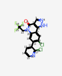 O=c1c2cn[nH]c2c2cc(Cl)c(-c3cccnc3Cl)cc2n1CC(F)(F)F